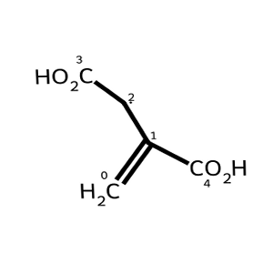 C=C([CH]C(=O)O)C(=O)O